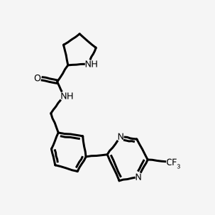 O=C(NCc1cccc(-c2cnc(C(F)(F)F)cn2)c1)C1CCCN1